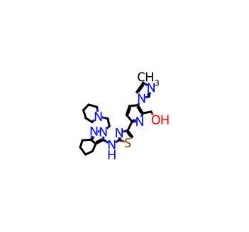 Cc1cn(-c2ccc(-c3csc(Nc4c5c(nn4CCN4CCCCC4)CCCC5)n3)nc2CO)cn1